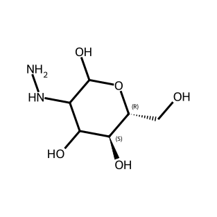 NNC1C(O)O[C@H](CO)[C@@H](O)C1O